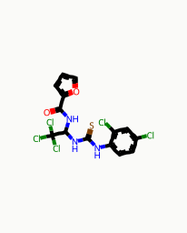 O=C(NC(NC(=S)Nc1ccc(Cl)cc1Cl)C(Cl)(Cl)Cl)c1ccco1